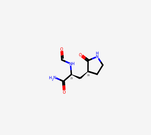 NC(=O)[C@H](C[C@@H]1CCNC1=O)NC=O